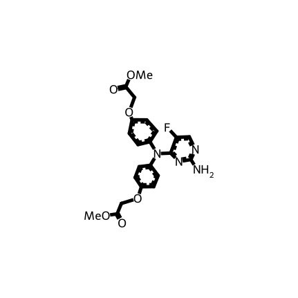 COC(=O)COc1ccc(N(c2ccc(OCC(=O)OC)cc2)c2nc(N)ncc2F)cc1